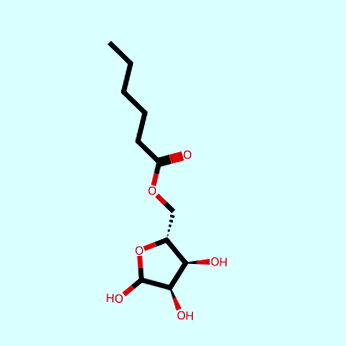 CCCCCC(=O)OC[C@H]1OC(O)[C@H](O)[C@@H]1O